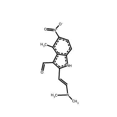 Cc1c([N+](=O)[O-])ccc2[nH]c(/C=C/N(C)C)c(C=O)c12